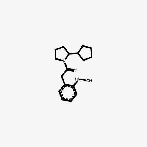 O=C(Cc1ccccc1NO)N1CCCC1C1CCCC1